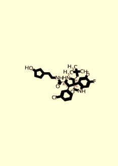 CC(C)(C)C[C@H]1N[C@@H](C(=O)NCCC2CCC(O)C2)[C@H](c2cccc(Cl)c2)[C@@]12C(=O)Nc1cc(F)c(F)cc12